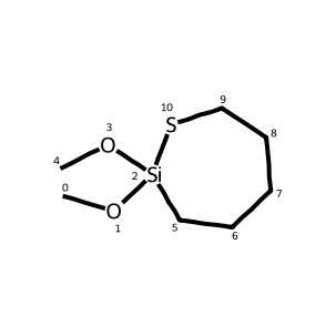 CO[Si]1(OC)CCCCCS1